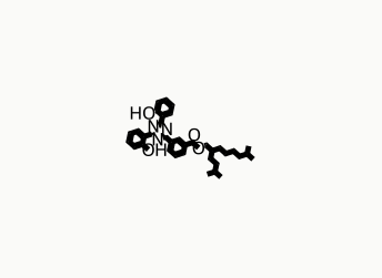 CC(C)CCCCC(CCC(C)C)COC(=O)c1cccc(-c2nc(-c3ccccc3O)nc(-c3ccccc3O)n2)c1